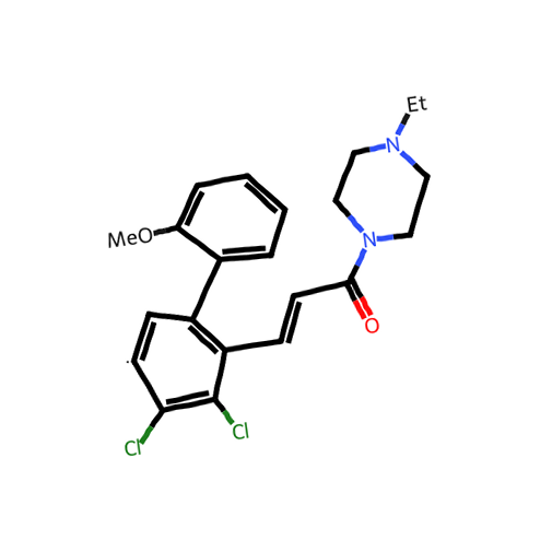 CCN1CCN(C(=O)/C=C/c2c(-c3ccccc3OC)c[c]c(Cl)c2Cl)CC1